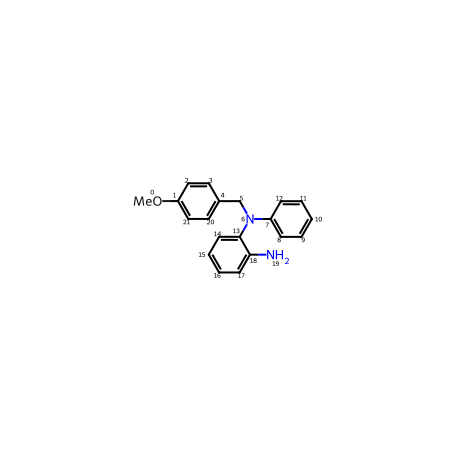 COc1ccc(CN(c2ccccc2)c2ccccc2N)cc1